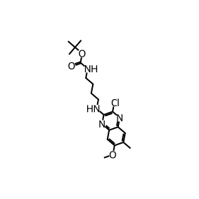 COc1cc2nc(NCCCCNC(=O)OC(C)(C)C)c(Cl)nc2cc1C